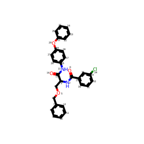 O=C(NC(COCc1ccccc1)C(=O)Nc1ccc(Oc2ccccc2)cc1)c1cccc(Cl)c1